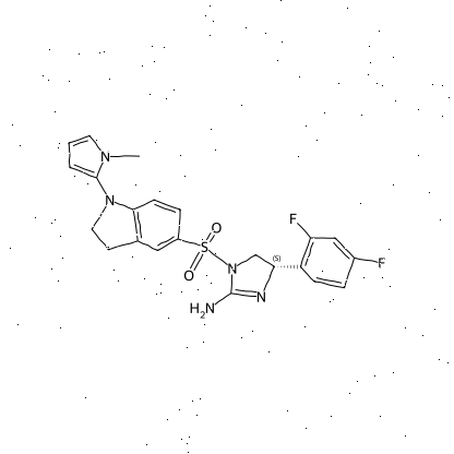 Cn1cccc1N1CCc2cc(S(=O)(=O)N3C[C@H](c4ccc(F)cc4F)N=C3N)ccc21